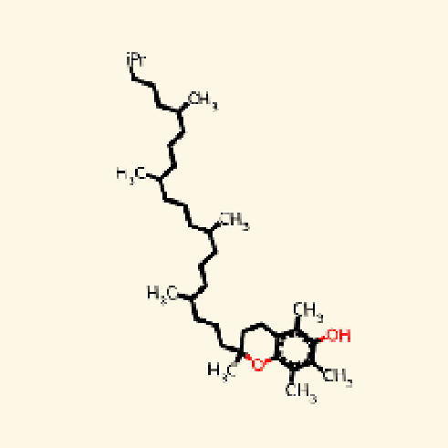 Cc1c(C)c2c(c(C)c1O)CCC(C)(CCCC(C)CCCC(C)CCCC(C)CCCC(C)CCCC(C)C)O2